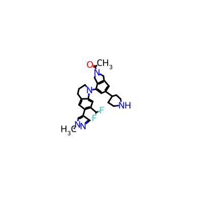 CC(=O)N1Cc2cc(C3CCNCC3)cc(N3CCCc4cc(-c5cnn(C)c5)c(C(F)F)cc43)c2C1